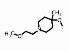 COCCN1CCC(C)(OI)CC1